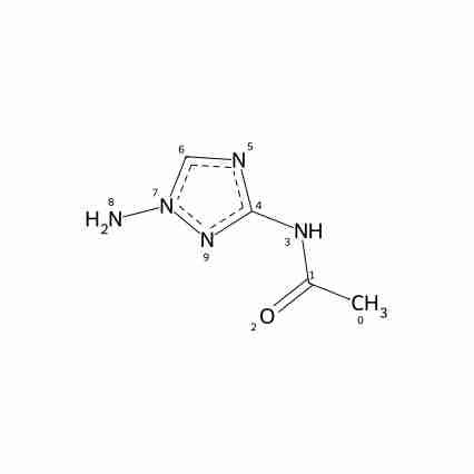 CC(=O)Nc1ncn(N)n1